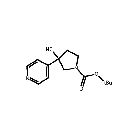 CC(C)(C)OC(=O)N1CCC(C#N)(c2ccncc2)C1